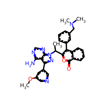 COc1cncc(-c2nn(C(C)c3oc(=O)c4ccccc4c3-c3cccc(CN(C)C)c3)c3ncnc(N)c23)c1